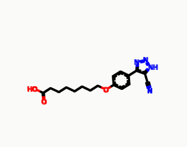 N#Cc1[nH]nnc1-c1ccc(OCCCCCCCC(=O)O)cc1